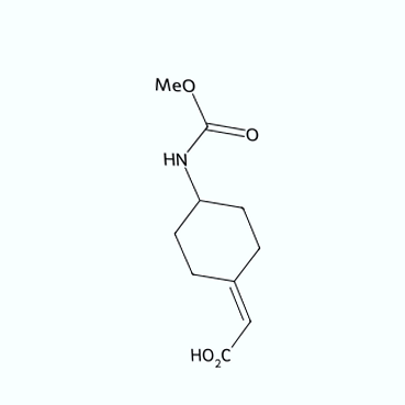 COC(=O)NC1CCC(=CC(=O)O)CC1